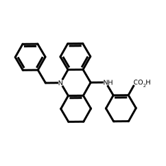 O=C(O)C1=C(NC2C3=C(CCCC3)N(Cc3ccccc3)c3ccccc32)CCCC1